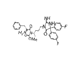 COC(=O)N(C(=O)[C@@H](N)Cc1ccccc1)C(C)CCCN1C(=N)NC(c2ccc(F)cc2)(c2ccc(F)cc2)C1=O